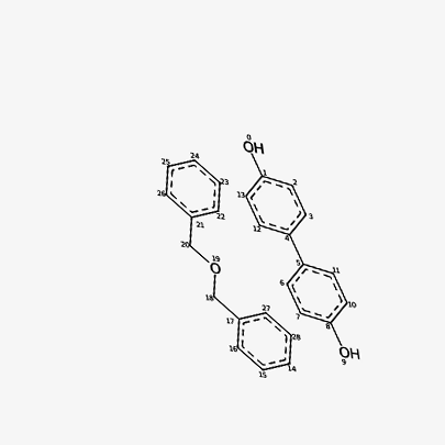 Oc1ccc(-c2ccc(O)cc2)cc1.c1ccc(COCc2ccccc2)cc1